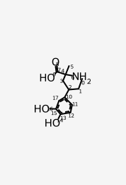 CCC(CC(C)(N)C(=O)O)c1ccc(O)c(O)c1